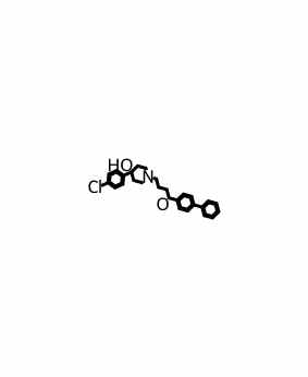 O=C(CCCN1CCC(O)(c2ccc(Cl)cc2)CC1)c1ccc(-c2ccccc2)cc1